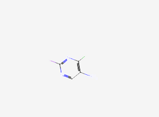 Nc1cnc(I)nc1Cl